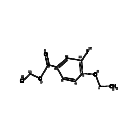 CCOc1ccc(C(=O)OCCl)cc1F